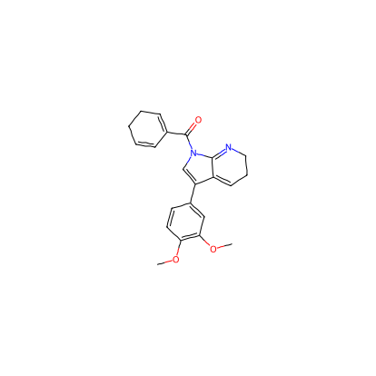 COc1ccc(-c2cn(C(=O)C3=CCCC=C3)c3c2=CCCN=3)cc1OC